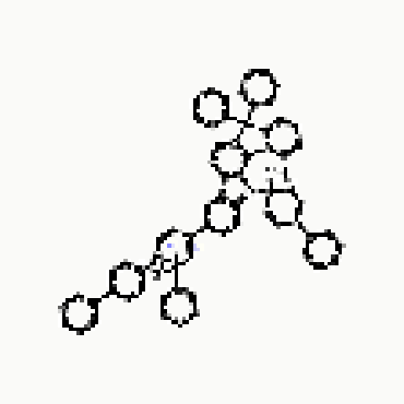 C=C(/C=C(\C=C/Nc1ccc(-c2ccccc2)cc1)c1ccc2c(c1)c1ccc3c(c1n2C1(C)C=CC(c2ccccc2)=CC1)-c1ccccc1C3(c1ccccc1)c1ccccc1)c1ccccc1